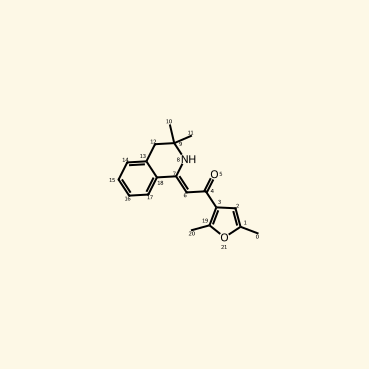 Cc1cc(C(=O)C=C2NC(C)(C)Cc3ccccc32)c(C)o1